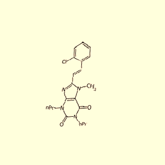 CCCn1c(=O)c2c(nc(/C=C/c3ccccc3Cl)n2C)n(CCC)c1=O